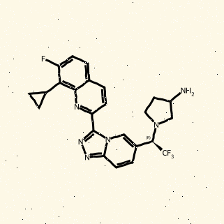 NC1CCN([C@H](c2ccc3nnc(-c4ccc5ccc(F)c(C6CC6)c5n4)n3c2)C(F)(F)F)C1